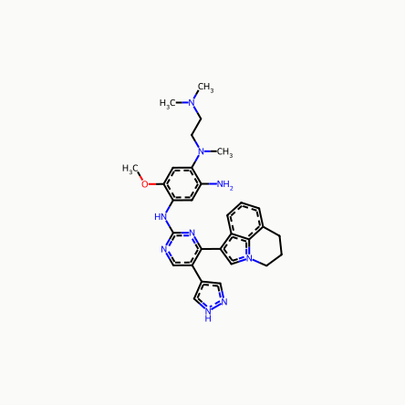 COc1cc(N(C)CCN(C)C)c(N)cc1Nc1ncc(-c2cn[nH]c2)c(-c2cn3c4c(cccc24)CCC3)n1